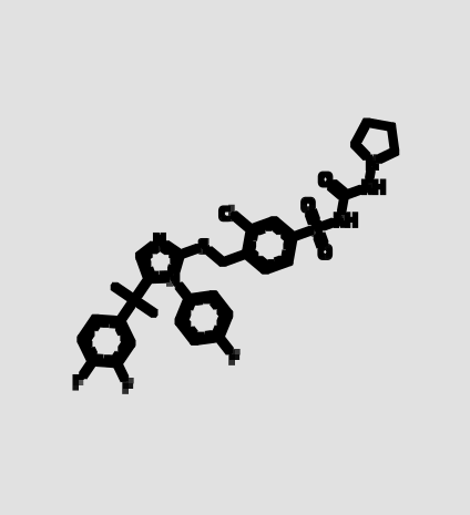 CC(C)(c1ccc(F)c(F)c1)c1cnc(SCc2ccc(S(=O)(=O)NC(=O)NN3CCCC3)cc2Cl)n1-c1ccc(F)cc1